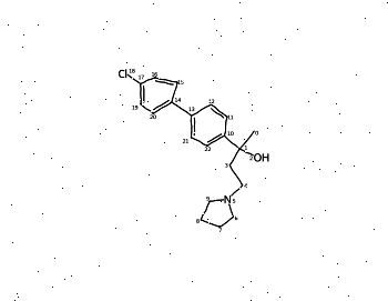 CC(O)(CCN1CCCC1)c1ccc(-c2ccc(Cl)cc2)cc1